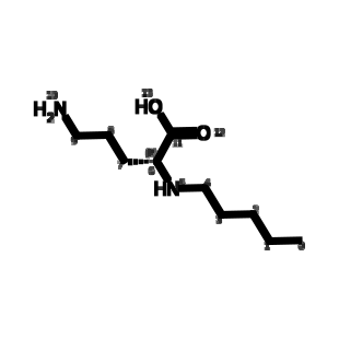 CCCCCN[C@H](CCCN)C(=O)O